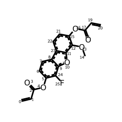 C=CC(=O)Oc1ccc2c(oc3c(OC)c(OC(=O)C=C)ccc32)c1F